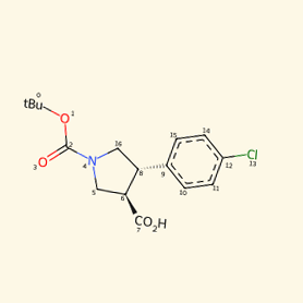 CC(C)(C)OC(=O)N1C[C@H](C(=O)O)[C@@H](c2ccc(Cl)cc2)C1